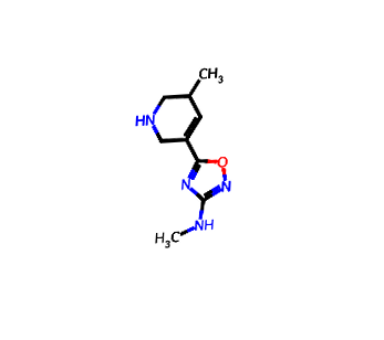 CNc1noc(C2=CC(C)CNC2)n1